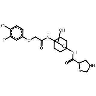 O=C(COc1ccc(Cl)c(F)c1)NC12CCC(NC(=O)C3CNCS3)(CC1)CC2O